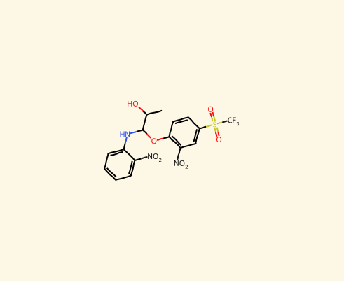 CC(O)C(Nc1ccccc1[N+](=O)[O-])Oc1ccc(S(=O)(=O)C(F)(F)F)cc1[N+](=O)[O-]